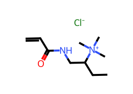 C=CC(=O)NCC(CC)[N+](C)(C)C.[Cl-]